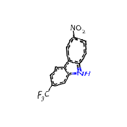 O=[N+]([O-])c1ccc2[nH]c3cc(C(F)(F)F)ccc3c2c1